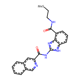 CSCCNC(=O)c1cccc2[nH]c(NC(=O)c3cc4ccccc4cn3)nc12